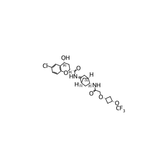 O=C(CO[C@H]1C[C@@H](OC(F)(F)F)C1)N[C@@H]1C[C@@H]2C[C@H]1C[C@H]2NC(=O)[C@H]1C[C@@H](O)c2cc(Cl)ccc2O1